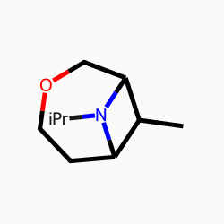 CC1C2CCOCC1N2C(C)C